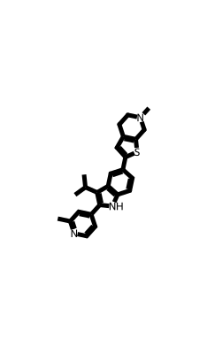 Cc1cc(-c2[nH]c3ccc(-c4cc5c(s4)CN(C)CC5)cc3c2C(C)C)ccn1